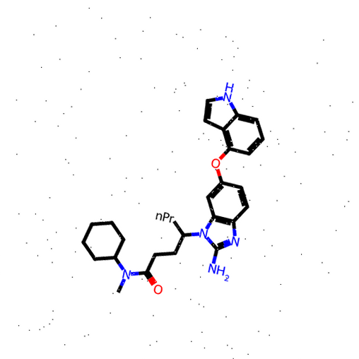 CCCC(CCC(=O)N(C)C1CCCCC1)n1c(N)nc2ccc(Oc3cccc4[nH]ccc34)cc21